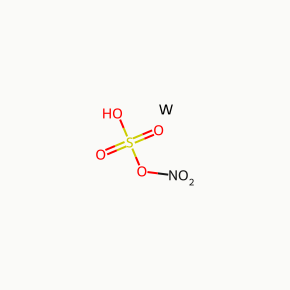 O=[N+]([O-])OS(=O)(=O)O.[W]